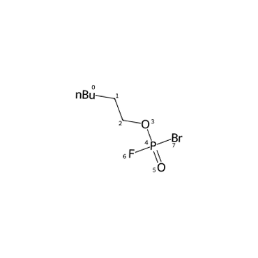 CCCCCCOP(=O)(F)Br